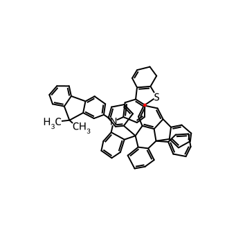 CC1(C)c2ccccc2-c2ccc(N(c3ccc4sc5c(c4c3)C=CCC5)c3ccccc3C3(c4ccccc4)c4ccccc4C4(c5ccccc5)c5ccccc5-c5cccc3c54)cc21